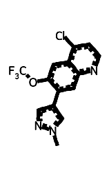 Cn1cc(-c2cc3nccc(Cl)c3cc2OC(F)(F)F)cn1